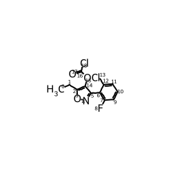 CCc1onc(-c2c(F)cccc2Cl)c1OC(=O)Cl